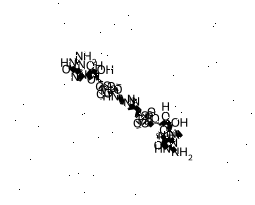 C=CN(c1nc(N)[nH]c(=O)c1NC)[C@@H]1O[C@H](COP(=O)(OC)OP(=O)(CCc2cn(CCNP(=O)(OC)OP(=O)(OC)OC[C@H]3O[C@@H](n4cnc5c(=O)[nH]c(N)nc54)C(O)C3O)nn2)OC)C(O)C1O